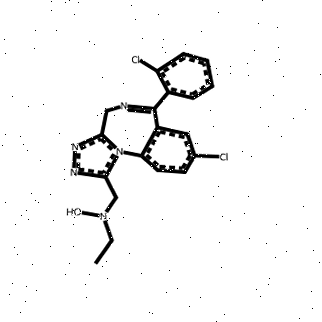 CCN(O)Cc1nnc2n1-c1ccc(Cl)cc1C(c1ccccc1Cl)=NC2